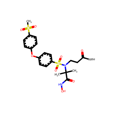 CNC(=O)CCN(C(C)(C)C(=O)NO)S(=O)(=O)c1ccc(Oc2ccc(S(C)(=O)=O)cc2)cc1